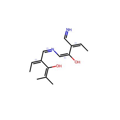 C/C=C(/C=N\C=C(O)/C(C=N)=C\C)C(O)=C(C)C